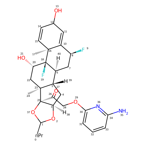 CCCC1O[C@@H]2C[C@H]3[C@@H]4C[C@H](F)C5=CC(O)C=C[C@]5(C)[C@@]4(F)[C@@H](O)C[C@]3(C)[C@]2(C(=O)COc2cccc(N)n2)O1